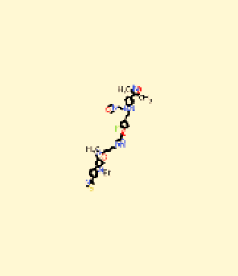 CCn1c2ccc(CN(C)C(=O)CCCCn3cc(COc4ccc(CCc5nc6cc(-c7c(C)noc7C)ccc6n5CCN5CCOCC5)cc4F)nn3)cc2c2ccc(-c3cscn3)cc21